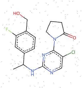 CC(Nc1ncc(Cl)c(N2CCCC2=O)n1)c1ccc(CO)c(F)c1